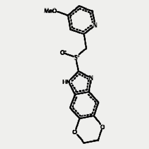 COc1ccnc(C[S+]([O-])c2nc3cc4c(cc3[nH]2)OCCO4)c1